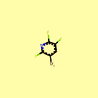 Fc1[c]c(C(F)(F)F)c(F)nc1F